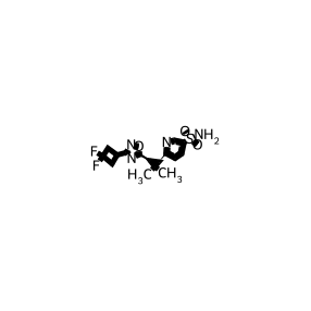 CC1(C)[C@@H](c2ccc(S(N)(=O)=O)cn2)[C@@H]1c1nc(C2CC(F)(F)C2)no1